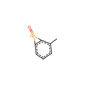 Cc1cccc2c1[PH]2=O